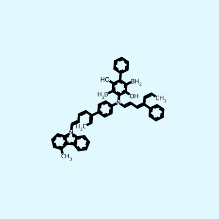 Bc1c(O)c(N(/C=C/C=C(\C=C/C)c2ccccc2)c2ccc(C(/C=C\C=C\n3c4ccccc4c4c(C)cccc43)=C/C)cc2)c(B)c(O)c1-c1ccccc1